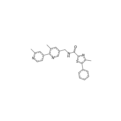 Cc1cc(-c2ncc(CNC(=O)c3nc(C)c(-c4ccccc4)s3)cc2C)ccn1